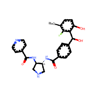 COc1ccc(O)c(C(O)c2ccc(C(=O)N[C@@H]3CNCC3NC(=O)c3ccncc3)cc2)c1F